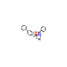 C[C@H]1CN2[C@H](c3ccccc3)CO[C@@]2(Cc2ccc(-c3ccccc3)cc2)C1